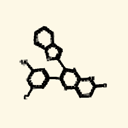 Cc1cc(-c2nc3ccc(=O)[nH]c3nc2-c2cc3ccccc3o2)cc(Cl)n1